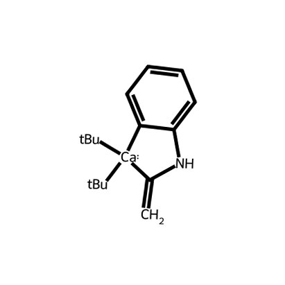 C=[C]1Nc2cccc[c]2[Ca]1([C](C)(C)C)[C](C)(C)C